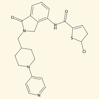 O=C(Nc1cccc2c1CN(CC1CCN(c3ccncc3)CC1)C2=O)C1=CCC(Cl)S1